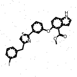 COC(=O)c1c(Oc2cccc(-c3nc(Cc4cccc(I)c4)cs3)c2)ccc2[nH]ccc12